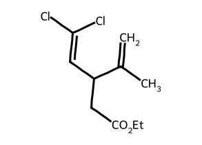 C=C(C)C(C=C(Cl)Cl)CC(=O)OCC